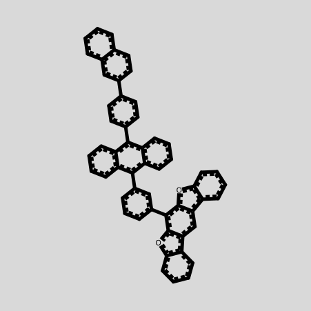 c1cc(-c2c3ccccc3c(-c3ccc(-c4ccc5ccccc5c4)cc3)c3ccccc23)cc(-c2c3oc4ccccc4c3cc3c2oc2ccccc23)c1